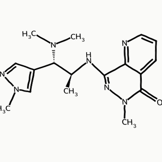 C[C@H](Nc1nn(C)c(=O)c2cccnc12)[C@H](c1cnn(C)c1)N(C)C